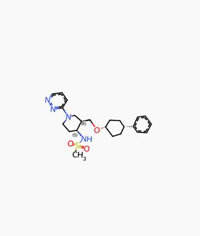 CS(=O)(=O)N[C@H]1CCN(c2cccnn2)C[C@H]1CO[C@H]1CC[C@@H](c2ccccc2)CC1